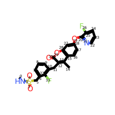 CNS(=O)(=O)Cc1cccc(Cc2c(C)c3ccc(Oc4ncccc4F)cc3oc2=O)c1F